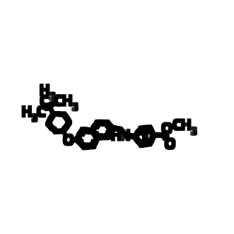 COC(=O)C12CCC(NCc3ccc4cc(O[C@H]5CC[C@H](C(C)(C)C)CC5)ccc4c3)(CC1)CC2